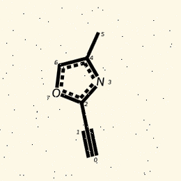 C#Cc1nc(C)co1